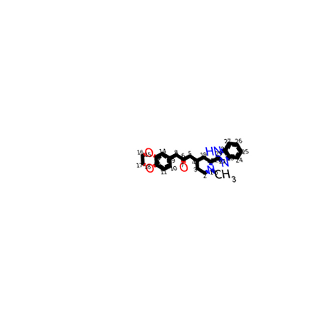 CN1CCC(CC(=O)Cc2ccc3c(c2)OCCO3)CC1c1nc2ccccc2[nH]1